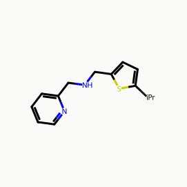 CC(C)c1ccc(CNCc2ccccn2)s1